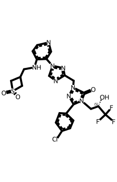 O=c1n(Cc2ncn(-c3cnccc3NCC3CS(=O)(=O)C3)n2)nc(-c2ccc(Cl)cc2)n1C[C@H](O)C(F)(F)F